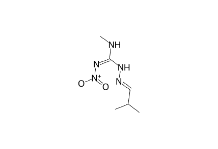 CNC(=N[N+](=O)[O-])NN=CC(C)C